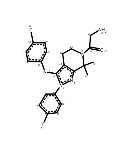 CC1(C)c2nn(-c3ccc(F)cc3)c(Nc3ccc(F)cc3)c2CCN1C(=O)CN